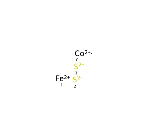 [Co+2].[Fe+2].[S-2].[S-2]